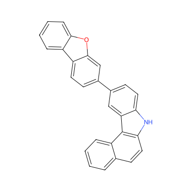 c1ccc2c(c1)ccc1[nH]c3ccc(-c4ccc5c(c4)oc4ccccc45)cc3c12